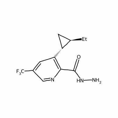 CC[C@@H]1C[C@H]1c1cc(C(F)(F)F)cnc1C(=O)NN